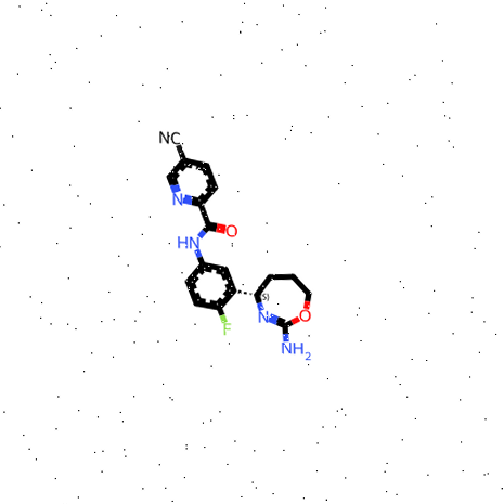 N#Cc1ccc(C(=O)Nc2ccc(F)c([C@@H]3CCCOC(N)=N3)c2)nc1